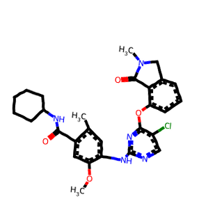 COc1cc(C(=O)NC2CCCCC2)c(C)cc1Nc1ncc(Cl)c(Oc2cccc3c2C(=O)N(C)C3)n1